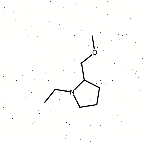 CCN1CCCC1COC